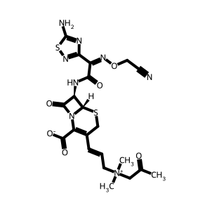 CC(=O)C[N+](C)(C)C/C=C/C1=C(C(=O)[O-])N2C(=O)[C@@H](NC(=O)/C(=N\OCC#N)c3nsc(N)n3)[C@@H]2SC1